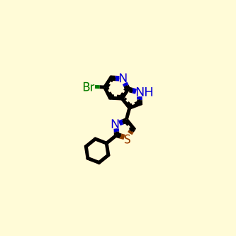 Brc1cnc2[nH]cc(-c3csc(C4CCCCC4)n3)c2c1